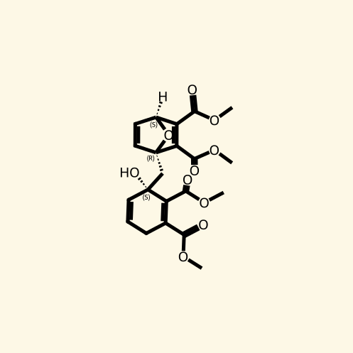 COC(=O)C1=C(C(=O)OC)[C@](O)(C[C@]23C=C[C@H](O2)C(C(=O)OC)=C3C(=O)OC)C=CC1